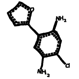 Nc1cc(-c2ccco2)c(N)cc1Cl